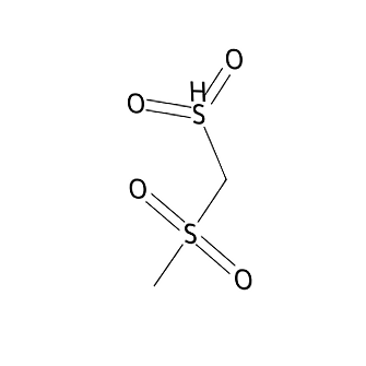 CS(=O)(=O)C[SH](=O)=O